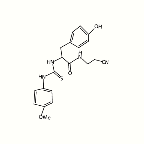 COc1ccc(NC(=S)NC(Cc2ccc(O)cc2)C(=O)NCCC#N)cc1